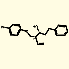 C=C[C@@H](CSc1ccc(Br)cc1)[C@@H](O)CCc1ccccc1